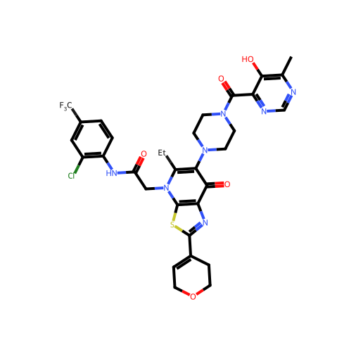 CCc1c(N2CCN(C(=O)c3ncnc(C)c3O)CC2)c(=O)c2nc(C3=CCOCC3)sc2n1CC(=O)Nc1ccc(C(F)(F)F)cc1Cl